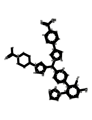 CC(=O)N1CCC(n2cc(C(c3ccc(-c4c(-n5ccnn5)ccc(Cl)c4F)cn3)n3cc(-c4ccc(C(=O)O)cc4)cn3)nn2)CC1